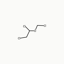 ClCOC(Cl)CCl